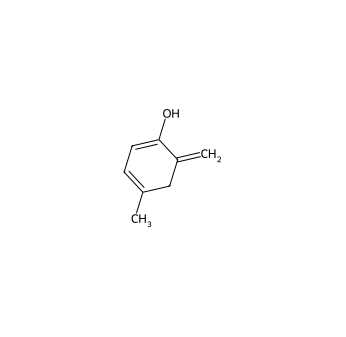 C=C1CC(C)=CC=C1O